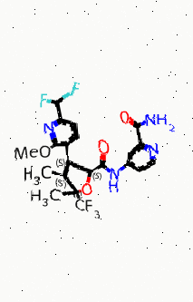 COc1nc(C(F)F)ccc1[C@H]1[C@@H](C(=O)Nc2ccnc(C(N)=O)c2)O[C@@](C)(C(F)(F)F)[C@H]1C